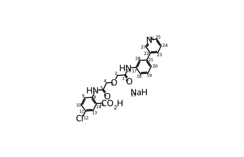 O=C(COCC(=O)Nc1ccc(Cl)cc1C(=O)O)Nc1cccc(-c2cccnc2)c1.[NaH]